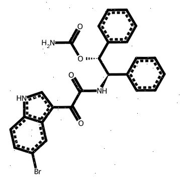 NC(=O)O[C@H](c1ccccc1)[C@H](NC(=O)C(=O)c1c[nH]c2ccc(Br)cc12)c1ccccc1